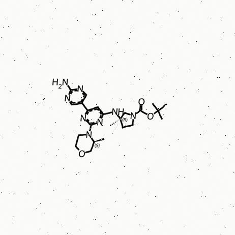 C[C@H]1COCCN1c1nc(N[C@]2(C)CCN(C(=O)OC(C)(C)C)C2)cc(-c2cnc(N)nc2)n1